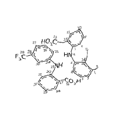 Cc1cccc(Nc2ccccc2C(=O)O)c1C.O=C(O)c1ccccc1Nc1cccc(C(F)(F)F)c1